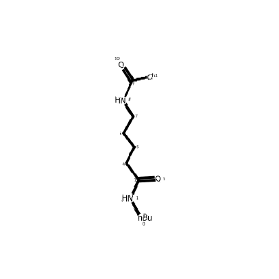 CCCCNC(=O)CCCCNC(=O)Cl